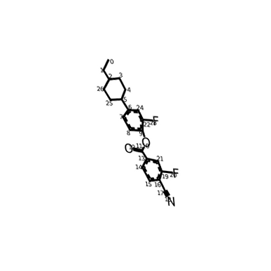 CCC1CCC(c2ccc(OC(=O)c3ccc(C#N)c(F)c3)c(F)c2)CC1